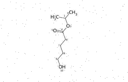 CC(C)OC(=O)CCCCO